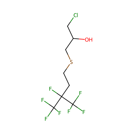 OC(CCl)CSCCC(F)(C(F)(F)F)C(F)(F)F